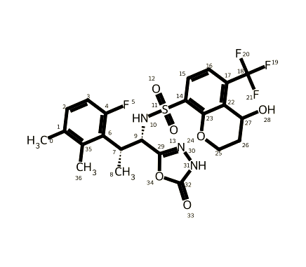 Cc1ccc(F)c([C@@H](C)[C@H](NS(=O)(=O)c2ccc(C(F)(F)F)c3c2OCCC3O)c2n[nH]c(=O)o2)c1C